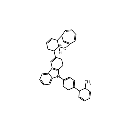 CC1C=CC=CC1C1=CC=C(n2c3c(c4ccccc42)C=C(C2CC=CC4C5C=CC=CC(=C5)O[C@H]24)CC3)CC1